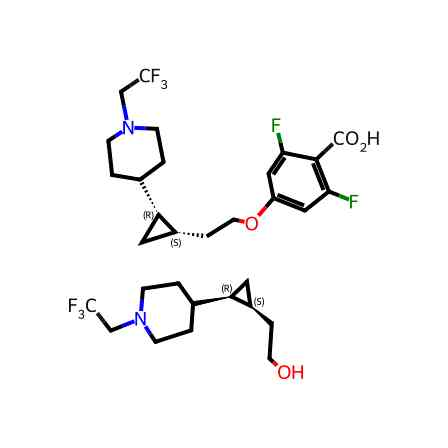 O=C(O)c1c(F)cc(OCC[C@@H]2C[C@@H]2C2CCN(CC(F)(F)F)CC2)cc1F.OCC[C@@H]1C[C@@H]1C1CCN(CC(F)(F)F)CC1